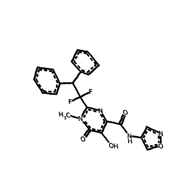 Cn1c(C(F)(F)C(c2ccccc2)c2ccccc2)nc(C(=O)Nc2cnoc2)c(O)c1=O